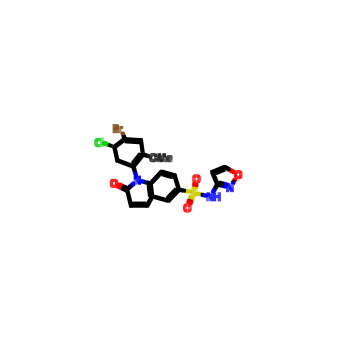 COC1=C(n2c(=O)ccc3cc(S(=O)(=O)Nc4ccon4)ccc32)C[C@@H](Cl)C(Br)=C1